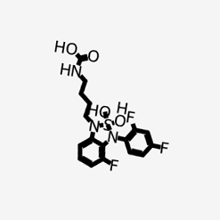 O=C(O)NCCCCN1c2cccc(F)c2N(c2ccc(F)cc2F)S1(O)O